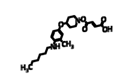 CCCCCCNc1ccc(OC2CCN(OC(=O)/C=C/C(=O)O)CC2)cc1C